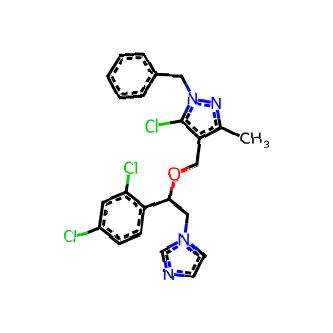 Cc1nn(Cc2ccccc2)c(Cl)c1COC(Cn1ccnc1)c1ccc(Cl)cc1Cl